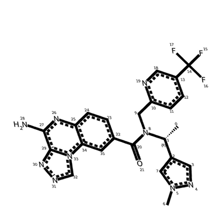 C[C@H](c1cnn(C)c1)N(Cc1ccc(C(F)(F)F)cn1)C(=O)c1ccc2nc(N)c3nncn3c2c1